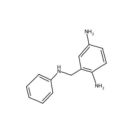 Nc1ccc(N)c(CNc2ccccc2)c1